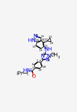 CC(C)CNC(=O)c1ccc(-c2nc(Nc3ccc4[nH]ncc4c3C3CC3)n(C)n2)cc1